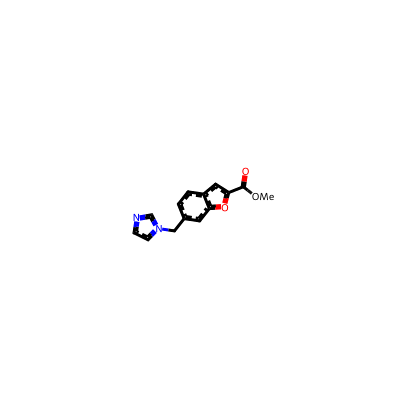 COC(=O)c1cc2ccc(Cn3ccnc3)cc2o1